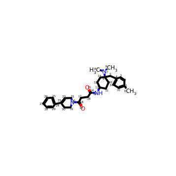 Cc1ccc(CC2(N(C)C)CCC(NC(=O)CCC(=O)N3CC=C(c4ccccc4)CC3)CC2)cc1